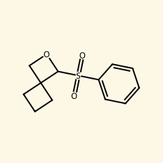 O=S(=O)(c1ccccc1)C1OCC12CCC2